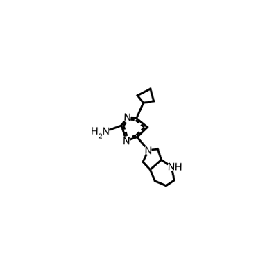 Nc1nc(C2CCC2)cc(N2CC3CCCNC3C2)n1